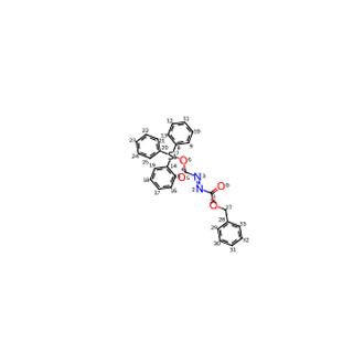 O=C(N=NC(=O)O[Si](c1ccccc1)(c1ccccc1)c1ccccc1)OCc1ccccc1